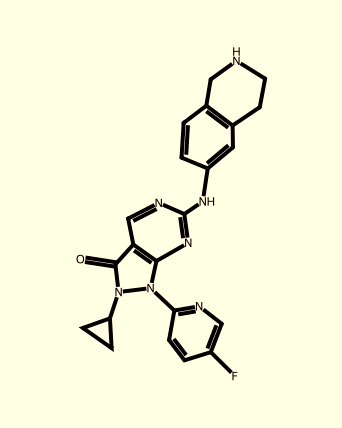 O=c1c2cnc(Nc3ccc4c(c3)CCNC4)nc2n(-c2ccc(F)cn2)n1C1CC1